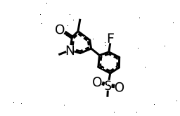 Cc1cc(-c2cc(S(C)(=O)=O)ccc2F)cn(C)c1=O